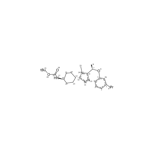 CC(C)c1cccc(O[C@H](C)c2nnc([C@H]3CC[C@H](NC(=O)OC(C)(C)C)CC3)n2C)c1